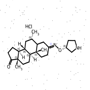 C[C@H]1C[C@@H]2[C@H](CC[C@]3(C)C(=O)CC[C@@H]23)[C@@]2(C)CC/C(=N\O[C@@H]3CCNC3)CC12.Cl